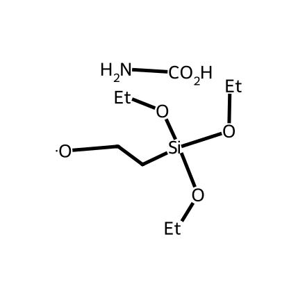 CCO[Si](CC[O])(OCC)OCC.NC(=O)O